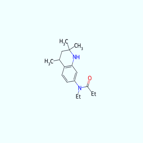 CCC(=O)N(CC)c1ccc2c(c1)NC(C)(C)CC2C